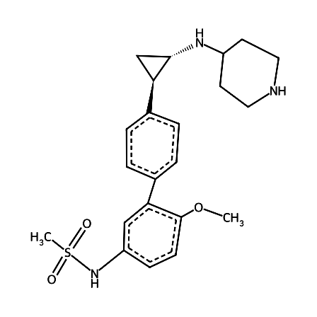 COc1ccc(NS(C)(=O)=O)cc1-c1ccc([C@H]2C[C@@H]2NC2CCNCC2)cc1